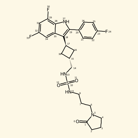 O=C1CCCN1CCCNS(=O)(=O)NC[C@H]1C[C@H](c2c(-c3ccc(F)cc3)[nH]c3c(F)cc(F)cc32)C1